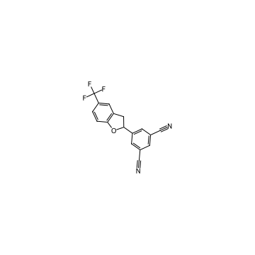 N#Cc1cc(C#N)cc(C2Cc3cc(C(F)(F)F)ccc3O2)c1